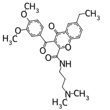 CCc1ccc2oc(C(=O)NCCCN(C)C)c(C(=O)c3ccc(OC)c(OC)c3)c(=O)c2c1